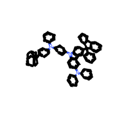 c1ccc(N(c2ccc(-n3c4ccc(N(c5ccccc5)c5ccccc5)cc4c4cc(C5(c6ccccc6)c6ccccc6-c6ccccc65)ccc43)cc2)c2ccc(C34CC5CC(CC(C5)C3)C4)cc2)cc1